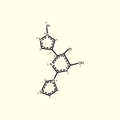 CC(C)c1c(O)nc(-n2ccnc2)nc1-c1cnn(C(C)C)c1